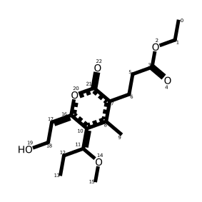 CCOC(=O)CCc1c(C)c(=C(/CC)OC)/c(=C\CO)oc1=O